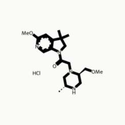 COC[C@H]1CN[C@H](C)CN1CC(=O)N1CC(C)(C)c2cc(OC)ncc21.Cl